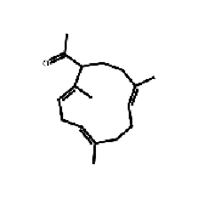 CC(=O)C1CC/C(C)=C/CC/C(C)=C/C/C=C/1C